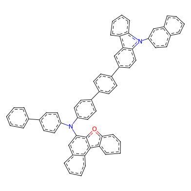 c1ccc(-c2ccc(N(c3ccc(-c4ccc(-c5ccc6c(c5)c5ccccc5n6-c5ccc6ccccc6c5)cc4)cc3)c3cc4ccccc4c4c3oc3ccccc34)cc2)cc1